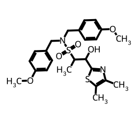 COc1ccc(CN(Cc2ccc(OC)cc2)S(=O)(=O)C(C)C(O)c2nc(C)c(C)s2)cc1